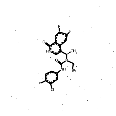 CC(C)CN(C(=O)Nc1ccc(F)c(Cl)c1)[C@H](C)c1c[nH]c(=O)c2cc(F)c(F)cc12